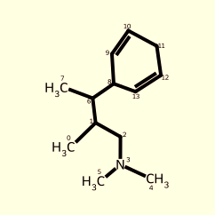 CC(CN(C)C)C(C)C1C=CCC=C1